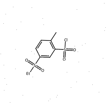 CCS(=O)(=O)c1ccc(C)c(S(=O)(=O)Cl)c1